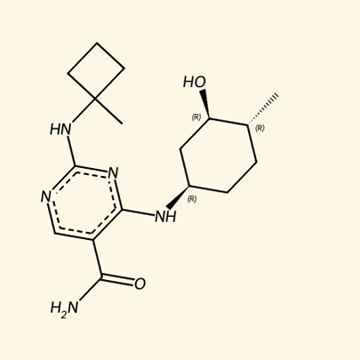 C[C@@H]1CC[C@@H](Nc2nc(NC3(C)CCC3)ncc2C(N)=O)C[C@H]1O